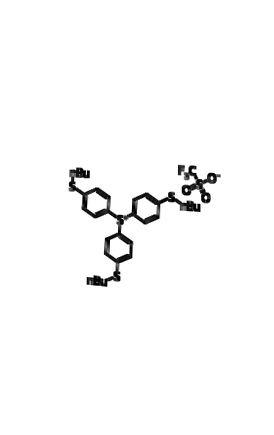 CCCCSc1ccc([S+](c2ccc(SCCCC)cc2)c2ccc(SCCCC)cc2)cc1.O=S(=O)([O-])C(F)(F)F